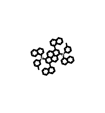 Cc1cccc(N(c2cccc3ccccc23)c2cc(-c3cccc4ccccc34)c3ccc4c(N(c5cccc(C)c5)c5cccc6ccccc56)cc(-c5cccc6ccccc56)c5ccc2c3c54)c1